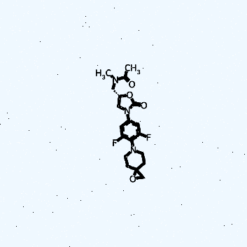 CC(=O)N(C)C[C@H]1CN(c2cc(F)c(N3CCC4(CC3)CO4)c(F)c2)C(=O)O1